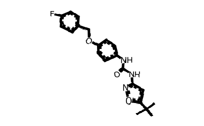 CC(C)(C)c1cc(NC(=O)Nc2ccc(OCc3ccc(F)cc3)cc2)no1